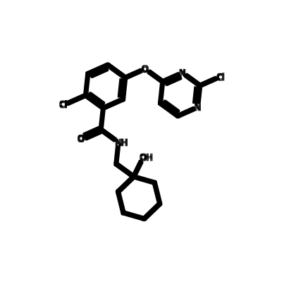 O=C(NCC1(O)CCCCC1)c1cc(Oc2ccnc(Cl)n2)ccc1Cl